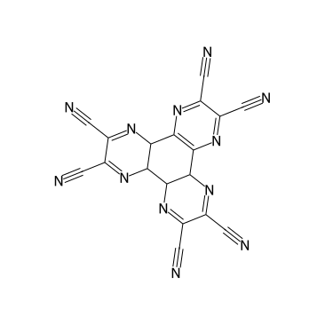 N#CC1=NC2c3nc(C#N)c(C#N)nc3C3N=C(C#N)C(C#N)=NC3C2N=C1C#N